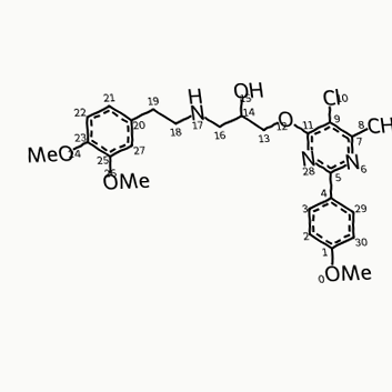 COc1ccc(-c2nc(C)c(Cl)c(OCC(O)CNCCc3ccc(OC)c(OC)c3)n2)cc1